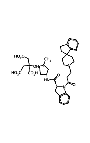 CN1CC[C@@H](NC(=O)[C@@H]2Cc3ccccc3N2C(=O)CCN2CCC3(CCc4ccccc43)CC2)C1.O=C(O)CC(O)(CC(=O)O)C(=O)O